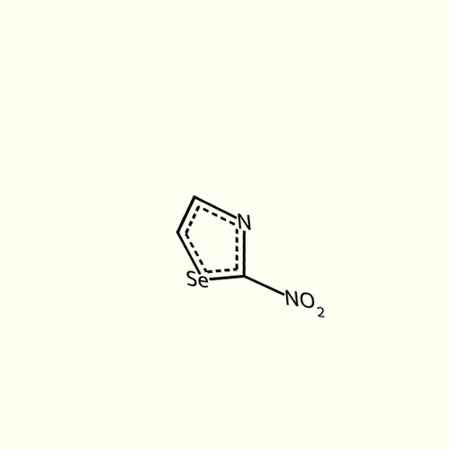 O=[N+]([O-])c1ncc[se]1